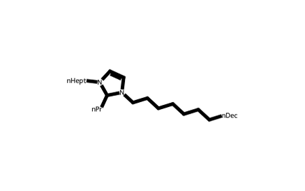 CCCCCCCCCCCCCCCCCN1C=CN(CCCCCCC)C1CCC